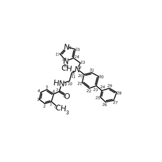 Cc1ccccc1C(=O)NCCN(Cc1cncn1C)c1ccc(-c2ccccc2)cc1